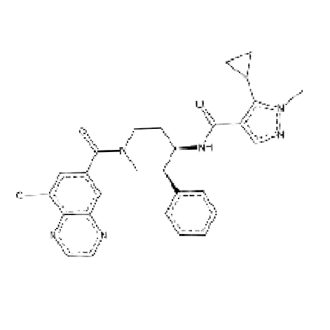 Cn1ncc(C(=O)N[C@@H]2CCN(C(=O)c3cc(Cl)c4nccnc4c3)C[C@@H]2c2ccccc2)c1C1CC1